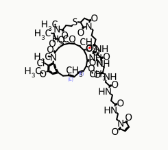 COc1cc2cc(c1Cl)N(C)C(=O)CC(OC(=O)C(C)N(C)C(=O)CCSC1CC(=O)N(CCCC(=O)NCC(=O)NCC(=O)NCC(=O)NCCC(=O)NCCN3C(=O)C=CC3=O)C1=O)C1(C)OC1C(C)C1CC(O)(NC(=O)O1)C(OC)/C=C/C=C(\C)C2